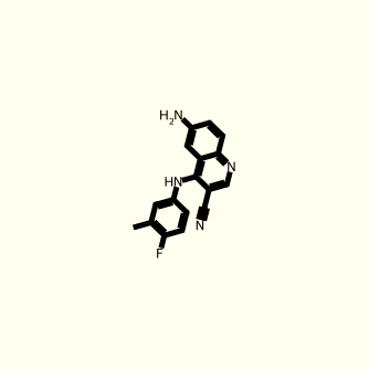 Cc1cc(Nc2c(C#N)cnc3ccc(N)cc23)ccc1F